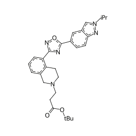 CC(C)n1cc2cc(-c3nc(-c4cccc5c4CCN(CCC(=O)OC(C)(C)C)C5)no3)ccc2n1